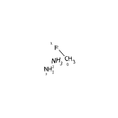 CF.N.N